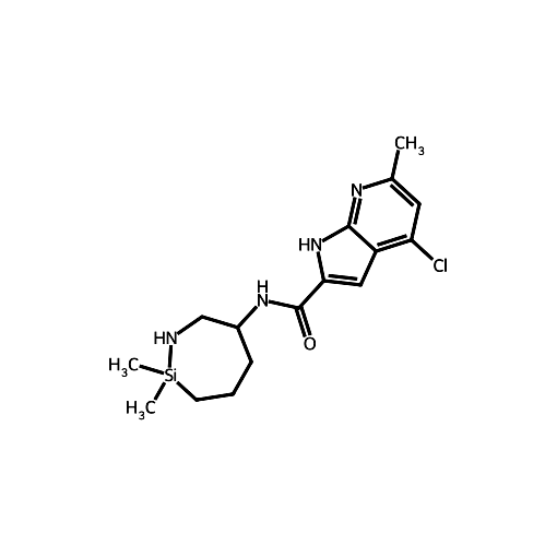 Cc1cc(Cl)c2cc(C(=O)NC3CCC[Si](C)(C)NC3)[nH]c2n1